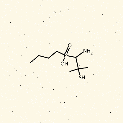 CCCCP(=O)(O)C(N)C(C)(C)S